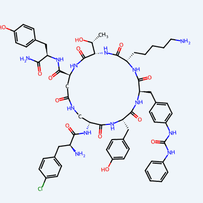 C[C@@H](O)[C@@H]1NC(=O)[C@H](CCCCCN)NC(=O)[C@@H](Cc2ccc(NC(=O)Nc3ccccc3)cc2)NC(=O)[C@H](Cc2ccc(O)cc2)NC(=O)[C@H](NC(=O)[C@@H](N)Cc2ccc(Cl)cc2)CNC(=O)C[C@@H](C(=O)N[C@H](Cc2ccc(O)cc2)C(N)=O)NC1=O